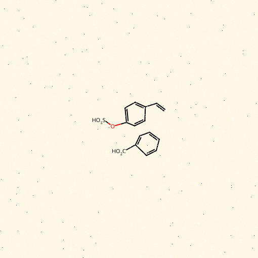 C=Cc1ccc(OS(=O)(=O)O)cc1.O=C(O)c1ccccc1